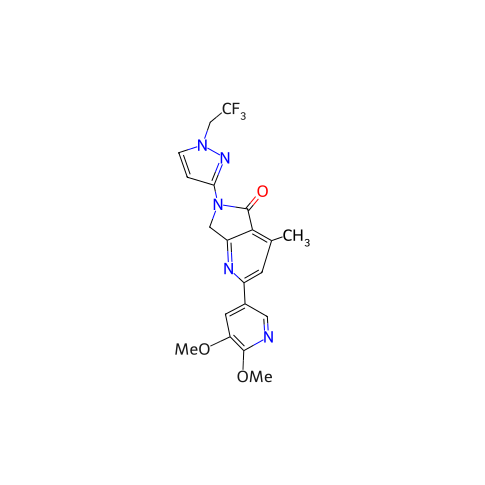 COc1cc(-c2cc(C)c3c(n2)CN(c2ccn(CC(F)(F)F)n2)C3=O)cnc1OC